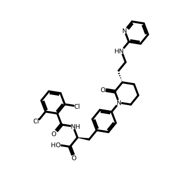 O=C(N[C@@H](Cc1ccc(N2CCC[C@@H](CCNc3ccccn3)C2=O)cc1)C(=O)O)c1c(Cl)cccc1Cl